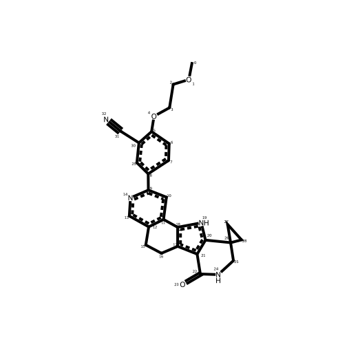 COCCOc1ccc(-c2cc3c(cn2)CCc2c-3[nH]c3c2C(=O)NCC32CC2)cc1C#N